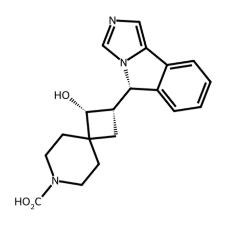 O=C(O)N1CCC2(CC1)C[C@@H]([C@H]1c3ccccc3-c3cncn31)[C@H]2O